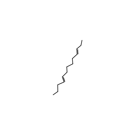 CCC=CCCCCC=CCCC